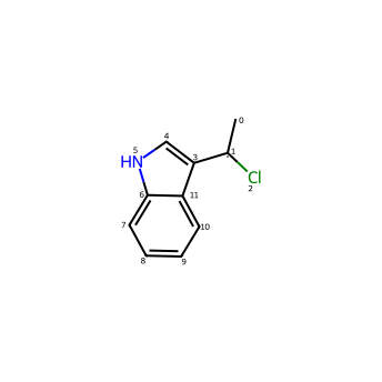 C[C](Cl)c1c[nH]c2ccccc12